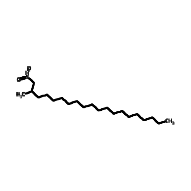 CCCCCCCCCCCCCCCCCCC(C)C[SH](=O)=O